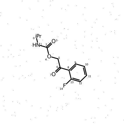 CC(C)NC(=O)OCC(=O)c1ccccc1F